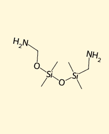 C[Si](C)(CN)O[Si](C)(C)OCN